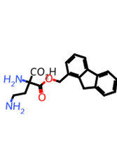 NCCC(N)(C(=O)O)C(=O)OCc1cccc2c1Cc1ccccc1-2